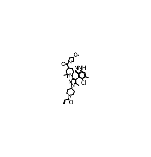 C=CC(=O)N1CCC(n2nc(N3CCC(C(=O)N4CC(OC)C4)CC3(C)C)c(-c3c(Cl)c(C)cc4[nH]ncc34)c2C)CC1